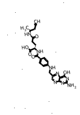 C#CC[C@@H](C)NC(=O)CC[C@H](NC(=O)c1ccc(NCc2cnc3nc(N)nc(O)c3n2)cc1)C(=O)O